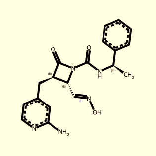 C[C@@H](NC(=O)N1C(=O)[C@H](Cc2ccnc(N)c2)[C@H]1/C=N/O)c1ccccc1